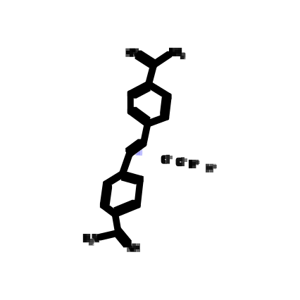 N=C(N)c1ccc(/C=C/c2ccc(C(=N)N)cc2)cc1.[Cl-].[Cl-].[H+].[H+]